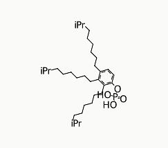 CC(C)CCCCCCc1ccc(OP(=O)(O)O)c(CCCCCCC(C)C)c1CCCCCCC(C)C